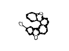 Clc1ccc2oc3ccc4ccc5oc6ccccc6c5c4c3c2c1